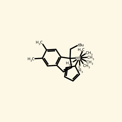 Cc1cc2c(cc1C)[C](CC(C)(C)C)([Hf]([CH3])([CH3])([CH3])([CH3])([CH3])([CH3])([CH3])[CH]1C=CC=C1)C=C2